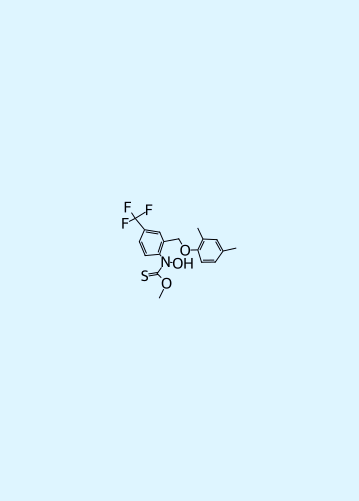 COC(=S)N(O)c1ccc(C(F)(F)F)cc1COc1ccc(C)cc1C